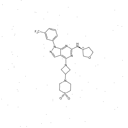 O=S1(=O)CCN(C2CN(c3nc(N[C@H]4CCOC4)nc4c3cnn4-c3cccc(C(F)(F)F)c3)C2)CC1